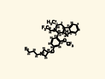 C[C@@H]1Cc2c([nH]c3ccccc23)[C@@H](c2ccc(OC3CN(CCCF)C3)cc2OC(F)(F)F)N1CC(F)(F)F